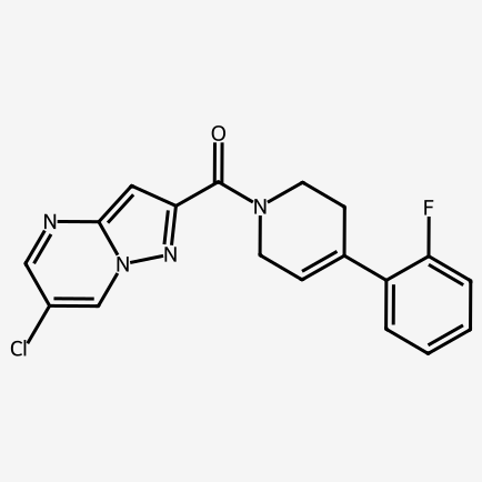 O=C(c1cc2ncc(Cl)cn2n1)N1CC=C(c2ccccc2F)CC1